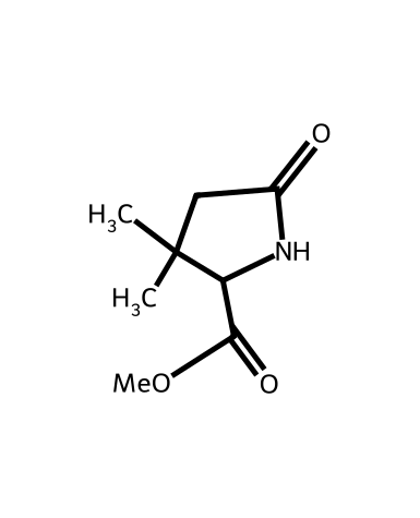 COC(=O)C1NC(=O)CC1(C)C